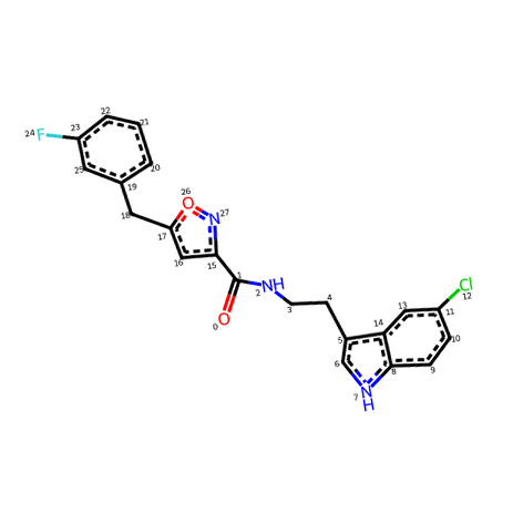 O=C(NCCc1c[nH]c2ccc(Cl)cc12)c1cc(Cc2cccc(F)c2)on1